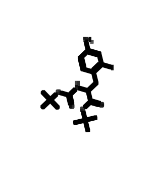 CC(C)(C)OC(=O)NC(Cc1ccc(N)cc1I)C(=O)OC(C)(C)C